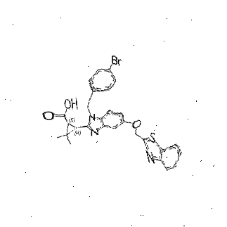 CC1(C)[C@H](c2nc3cc(OCc4nc5ccccc5s4)ccc3n2Cc2ccc(Br)cc2)[C@@H]1C(=O)O